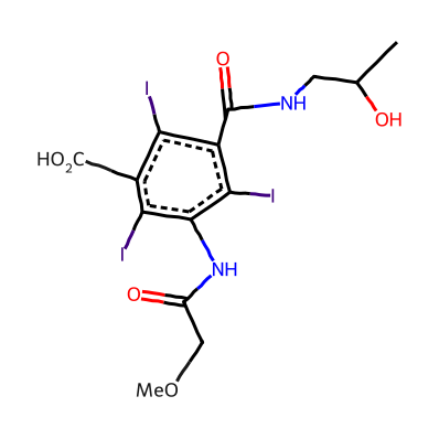 COCC(=O)Nc1c(I)c(C(=O)O)c(I)c(C(=O)NCC(C)O)c1I